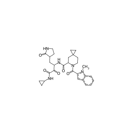 Cn1c(C(=O)N2CCC3(CC3)CC2C(=O)NC(CC2CCNC2=O)C(=O)C(=O)NC2CC2)cc2ccccc21